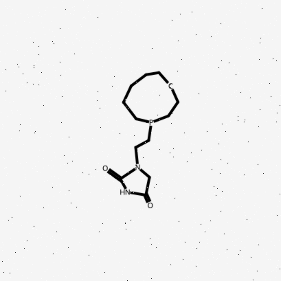 O=C1CN(CCP2CCCCCCCC2)C(=O)N1